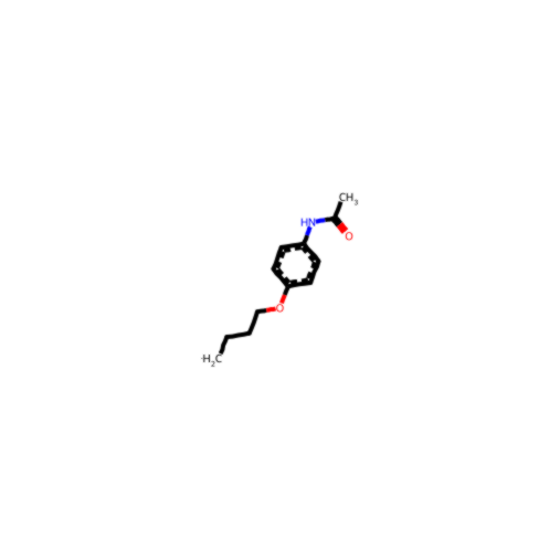 [CH2]CCCOc1ccc(NC(C)=O)cc1